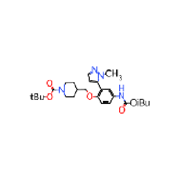 CC(C)COC(=O)Nc1ccc(OCC2CCN(C(=O)OC(C)(C)C)CC2)c(-c2ccnn2C)c1